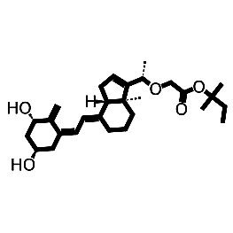 C=C1C(=CC=C2CCC[C@]3(C)C([C@H](C)OCC(=O)OC(C)(C)CC)=CC[C@@H]23)C[C@@H](O)C[C@@H]1O